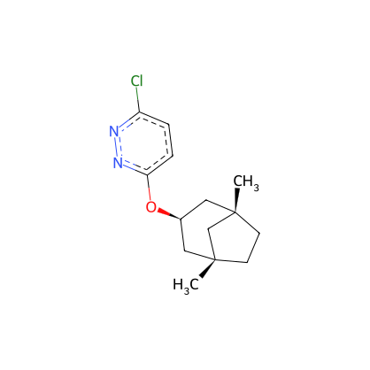 C[C@]12CC[C@](C)(C[C@@H](Oc3ccc(Cl)nn3)C1)C2